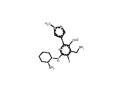 Cn1cc(-c2nc(N[C@@H]3CCCC[C@@H]3N)c(F)c(CN)c2C=O)cn1